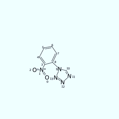 O=[N+]([O-])c1ccccc1-n1cnnn1